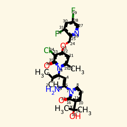 CC(C)=C(/C=C(\N)n1cccc(C(C)(C)O)c1=O)n1c(C)cc(OCc2ncc(F)cc2F)c(Cl)c1=O